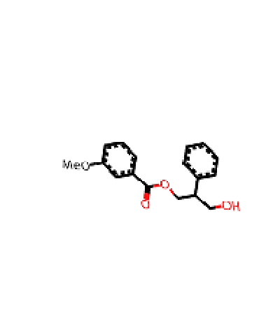 COc1cccc(C(=O)OCC(CO)c2ccccc2)c1